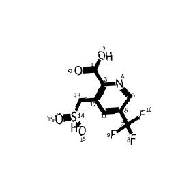 O=C(O)c1ncc(C(F)(F)F)cc1C[SH](=O)=O